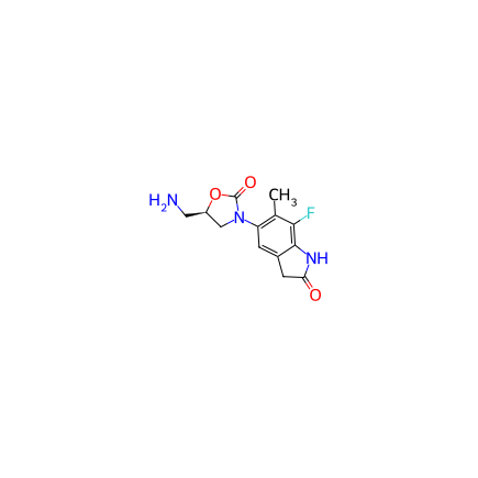 Cc1c(N2C[C@@H](CN)OC2=O)cc2c(c1F)NC(=O)C2